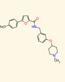 COc1ccc(-c2ccc(C(=O)NCc3cccc(OC4CCN(C)CC4)c3)o2)cc1